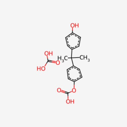 CC(C)(c1ccc(O)cc1)c1ccc(OC(=O)O)cc1.O=C(O)O